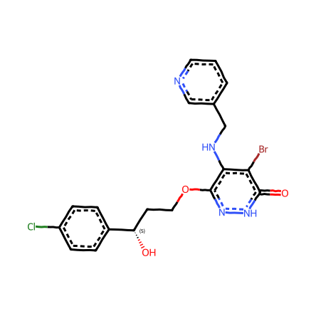 O=c1[nH]nc(OCC[C@H](O)c2ccc(Cl)cc2)c(NCc2cccnc2)c1Br